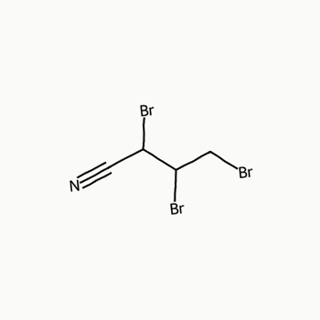 N#CC(Br)C(Br)CBr